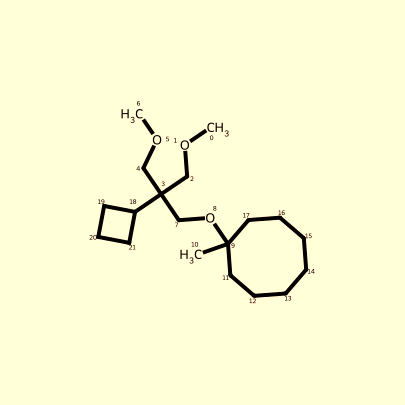 COCC(COC)(COC1(C)CCCCCCC1)C1CCC1